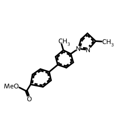 COC(=O)c1ccc(-c2ccc(-n3ccc(C)n3)c(C)c2)cc1